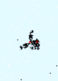 C=CC(=O)N1CC2(CCN(c3nc(N4CC5(CCN(C6COC6)CC5)C4)nc4c(OCC(F)(F)F)c(-c5c(C)ccc6[nH]ncc56)c(C5CC5)cc34)CC2)C1